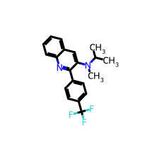 CC(C)N(C)c1cc2ccccc2nc1-c1ccc(C(F)(F)F)cc1